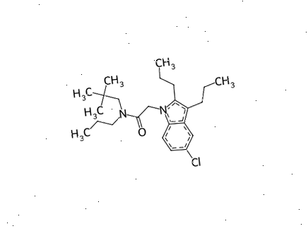 CCCc1c(CCC)n(CC(=O)N(CCC)CC(C)(C)C)c2ccc(Cl)cc12